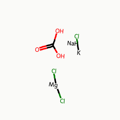 O=C(O)O.[Cl][K].[Cl][Mg][Cl].[NaH]